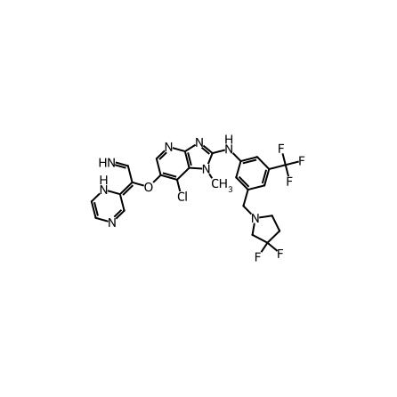 Cn1c(Nc2cc(CN3CCC(F)(F)C3)cc(C(F)(F)F)c2)nc2ncc(O/C(C=N)=C3\C=NC=CN3)c(Cl)c21